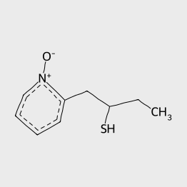 CCC(S)Cc1cccc[n+]1[O-]